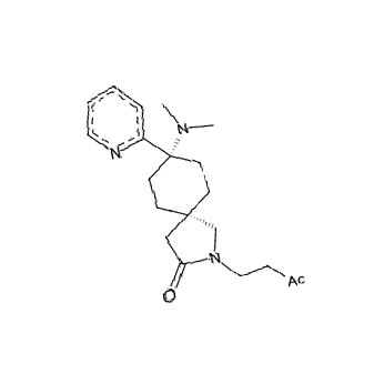 CC(=O)CCN1C[C@]2(CC[C@@](c3ccccn3)(N(C)C)CC2)CC1=O